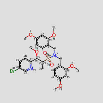 COc1ccc(CN(Cc2ccc(OC)cc2OC)S(=O)(=O)[C@@H](C)[C@H](OC)c2ccc(Br)cn2)c(OC)c1